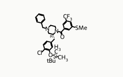 CSc1cc(C(=O)N2CCN(Cc3ccccc3)C[C@H]2Cc2ccc(Cl)c(O[Si](C)(C)C(C)(C)C)c2)cc(C(F)(F)F)c1